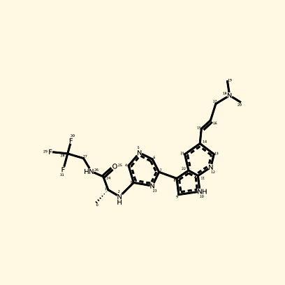 C[C@@H](Nc1cncc(-c2c[nH]c3ncc(/C=C/CN(C)C)cc23)n1)C(=O)NCC(F)(F)F